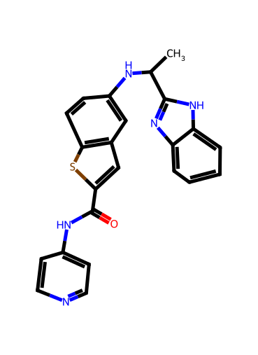 CC(Nc1ccc2sc(C(=O)Nc3ccncc3)cc2c1)c1nc2ccccc2[nH]1